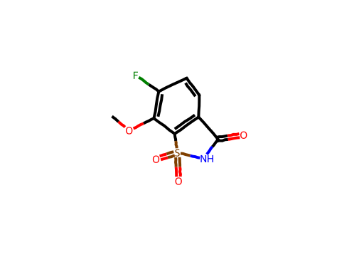 COc1c(F)ccc2c1S(=O)(=O)NC2=O